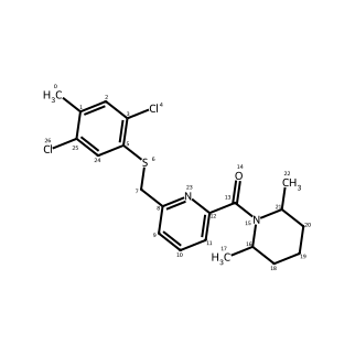 Cc1cc(Cl)c(SCc2cccc(C(=O)N3C(C)CCCC3C)n2)cc1Cl